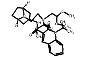 COC(=O)N(CCN1[C@@H]2CC[C@H]1C[C@H](NC(=O)c1cc3ccccc3n(C(C)C)c1=O)C2)CC(OC)OC